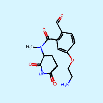 CN(C(=O)c1cc(OCCN)ccc1C=O)C1CCC(=O)NC1=O